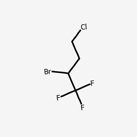 FC(F)(F)C(Br)CCCl